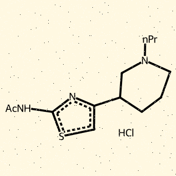 CCCN1CCCC(c2csc(NC(C)=O)n2)C1.Cl